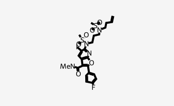 C=CCCN(CCCN(c1nc2oc(-c3ccc(F)cc3)c(C(=O)NC)c2cc1I)S(C)(=O)=O)S(C)(=O)=O